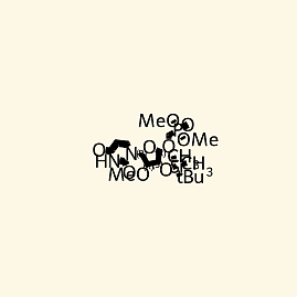 CO[C@@H]1[C@H](O[Si](C)(C)C(C)(C)C)[C@@H](OCP(=O)(OC)OC)O[C@H]1n1ccc(=O)[nH]c1=O